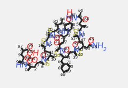 C=C(CC(=O)c1csc(C(=C)CC(=O)c2csc(-c3csc(C(NC(=O)C(CC(=O)c4csc(C(CC(=O)c5csc(C(CC(N)=O)CC(=O)c6csc(C(=C)CC(=O)C(C)NC)n6)n5)Cc5ccccc5)n4)Cc4ccc(O)cc4)C(C)CC)n3)n2)n1)C(=O)NC(=C)C(=O)CC(C)C(=O)O